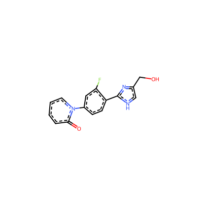 O=c1ccccn1-c1ccc(-c2nc(CO)c[nH]2)c(F)c1